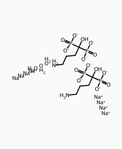 NCCCC(O)(P(=O)([O-])[O-])P(=O)([O-])[O-].NCCCC(O)(P(=O)([O-])[O-])P(=O)([O-])[O-].O.O.O.[Na+].[Na+].[Na+].[Na+].[Na+].[Na+].[Na+].[Na+]